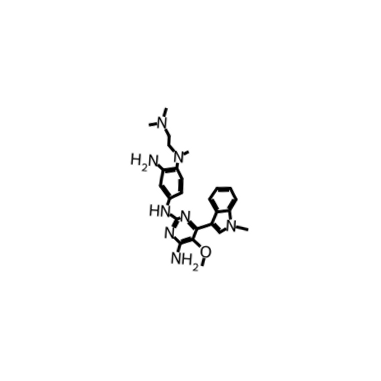 COc1c(N)nc(Nc2ccc(N(C)CCN(C)C)c(N)c2)nc1-c1cn(C)c2ccccc12